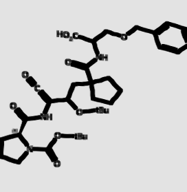 CC(C)(C)OC(=O)N1CCC[C@H]1C(=O)NC(=C=O)C(CC1(C(=O)NC(COCc2ccccc2)C(=O)O)CCCC1)OC(C)(C)C